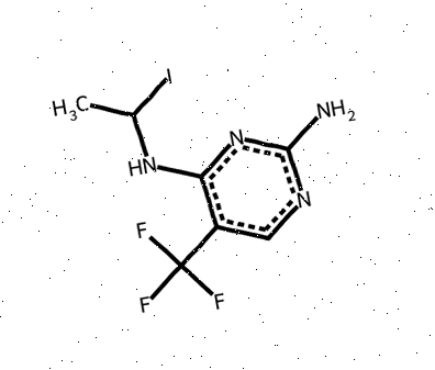 CC(I)Nc1nc(N)ncc1C(F)(F)F